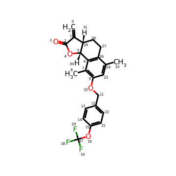 C=C1C(=O)O[C@H]2c3c(C)c(OCc4ccc(OC(F)(F)F)cc4)cc(C)c3CC[C@@H]12